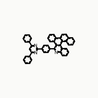 c1ccc(-c2cc(-c3ccccc3)nc(-c3ccc(-c4nc5ccccc5c5c4c4ccccc4c4ccc6ccccc6c45)cc3)n2)cc1